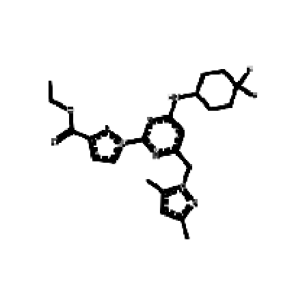 CCOC(=O)c1ccn(-c2nc(Cn3nc(C)cc3C)cc(NC3CCC(F)(F)CC3)n2)n1